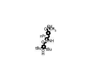 CCCC1CN(CC(=O)c2cc(C(C)(C)C)c(O)c(C(C)(C)C)c2)C(=N)/C1=C/c1ccc(C(=O)N(C)C)cc1